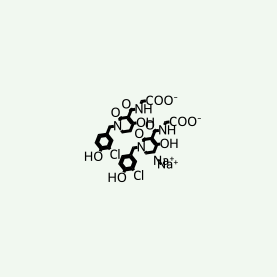 O=C([O-])CNC(=O)C1=C(O)CCN(Cc2ccc(O)c(Cl)c2)C1=O.O=C([O-])CNC(=O)C1=C(O)CCN(Cc2ccc(O)c(Cl)c2)C1=O.[Na+].[Na+]